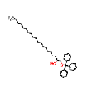 O[C@@H](CCCCCCCCCCCCCCCCCC(F)(F)F)COC(c1ccccc1)(c1ccccc1)c1ccccc1